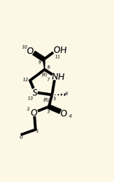 CCOC(=O)[C@]1(C)N[C@H](C(=O)O)CS1